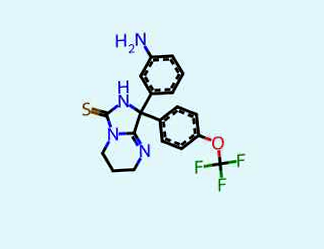 Nc1cccc(C2(c3ccc(OC(F)(F)F)cc3)NC(=S)N3CCCN=C32)c1